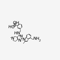 Cc1cc2c(CN)cccc2n1-c1nc2c(c(NCc3cccc(B(O)O)c3)n1)CN(C)CC2